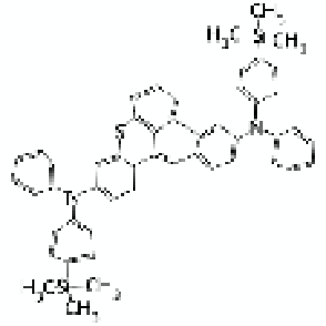 C[Si](C)(C)c1ccc(N(c2ccccc2)c2ccc3c(c2)Sc2cccc4c2c-3cc2ccc(N(c3ccccc3)c3ccc([Si](C)(C)C)cc3)cc24)cc1